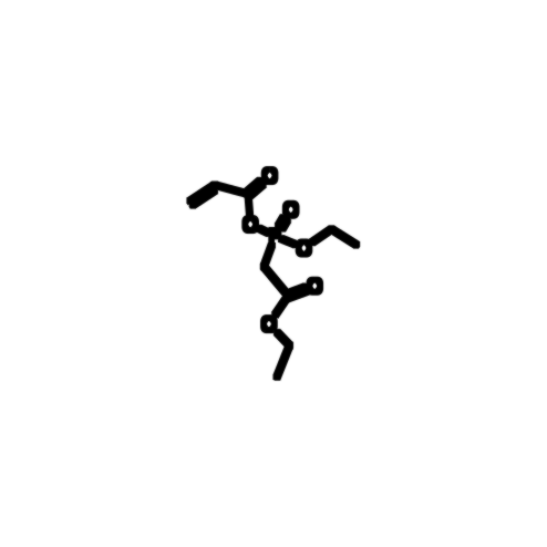 C=CC(=O)OP(=O)(CC(=O)OCC)OCC